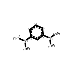 CCCN(CCC)c1[c]c(N(CCC)CCC)ccc1